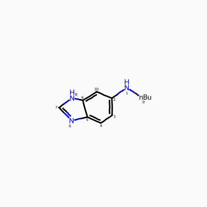 CCCCNc1ccc2nc[nH]c2c1